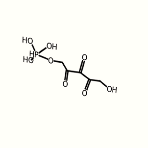 O=C(CO)C(=O)C(=O)CO[PH](O)(O)O